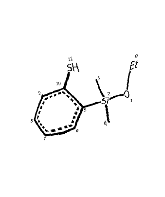 CCO[Si](C)(C)c1ccccc1S